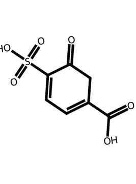 O=C(O)C1=CC=C(S(=O)(=O)O)C(=O)C1